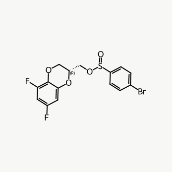 O=S(OC[C@H]1COc2c(F)cc(F)cc2O1)c1ccc(Br)cc1